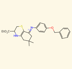 CCOC(=O)C1CSC2=C(CC(C)(C)C/C2=N\c2ccc(OCc3ccccc3)cc2)N1